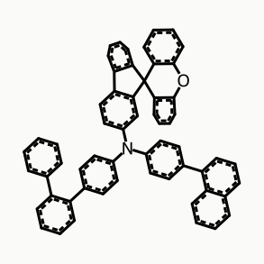 c1ccc(-c2ccccc2-c2ccc(N(c3ccc(-c4cccc5ccccc45)cc3)c3ccc4c(c3)C3(c5ccccc5Oc5ccccc53)c3ccccc3-4)cc2)cc1